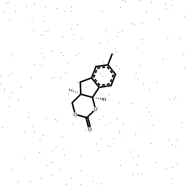 Cc1ccc2c(c1)C[C@]1(C)COC(=O)O[C@H]21